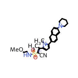 COCCNS(=O)(=O)/C(C#N)=C(\C)c1ccc(-c2ccc3cc(N4CCCCC4)ccc3c2)n1C